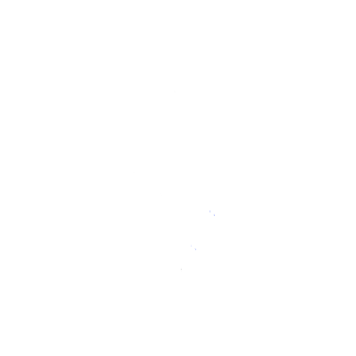 CCOc1ccccc1.Cc1ccc(OCCN2CCN(C)CC2)cc1